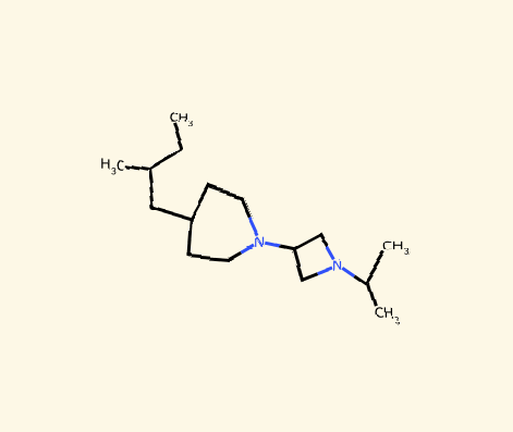 CCC(C)CC1CCN(C2CN(C(C)C)C2)CC1